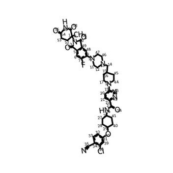 CC1(N2C(=O)c3cc(F)c(N4CCN(CC5CCN(c6ccc(C(=O)NC7CCC(Oc8ccc(C#N)c(Cl)c8)CC7)nn6)CC5)CC4)cc3C2=O)CCC(=O)NC1=O